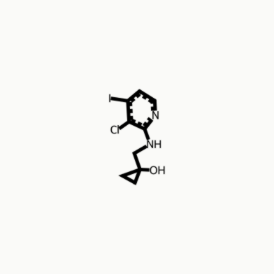 OC1(CNc2nccc(I)c2Cl)CC1